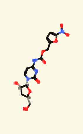 O=C(Nc1ccn([C@@H]2O[C@H](CO)C[C@@H]2O)c(=O)n1)OCc1ccc([N+](=O)[O-])o1